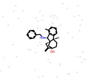 C=C1C[C@]23C[C@@]1(O)CC[C@H]2c1cccc(C)c1[C@@H]3NCc1ccccc1